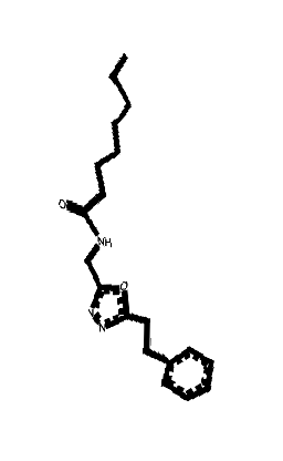 CCCCCCCC(=O)NCc1nnc(CCc2ccccc2)o1